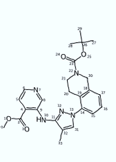 COC(=O)c1ccncc1Nc1nn(-c2cccc3c2CCN(C(=O)OC(C)(C)C)C3)cc1C